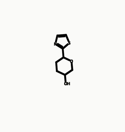 OC1CCC(c2nccs2)OC1